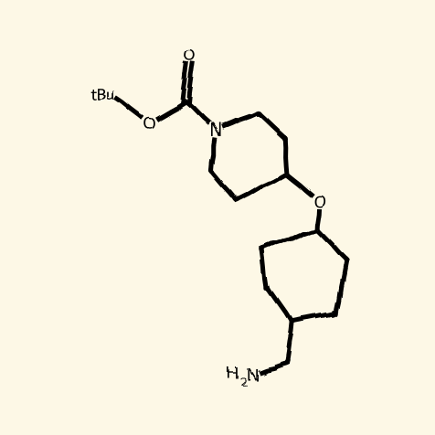 CC(C)(C)OC(=O)N1CCC(OC2CCC(CN)CC2)CC1